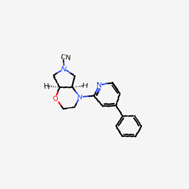 N#CN1C[C@@H]2OCCN(c3cc(-c4ccccc4)ccn3)[C@@H]2C1